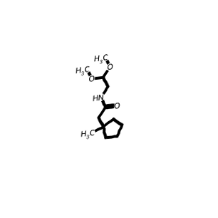 COC(CNC(=O)CC1(C)CCCC1)OC